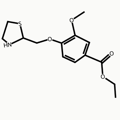 CCOC(=O)c1ccc(OCC2NCCS2)c(OC)c1